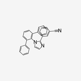 N#Cc1cccc(-c2nccn2-c2c(-c3ccccc3)cccc2-c2ccccc2)c1